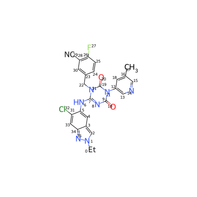 CCn1cc2cc(Nc3nc(=O)n(-c4cncc(C)c4)c(=O)n3Cc3ccc(F)c(C#N)c3)c(Cl)cc2n1